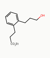 CCOC(=O)CCc1ccccc1CCCO